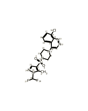 Cc1c(S(=O)(=O)N2CCN(c3cnnc4c(Cl)cccc34)CC2)cnn1C(F)F